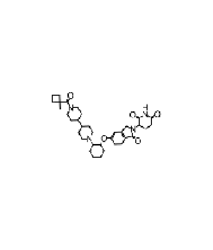 CC1(C(=O)N2CCC(C3CCN([C@@H]4CCCC[C@H]4Oc4ccc5c(c4)CN(C4CCC(=O)NC4=O)C5=O)CC3)CC2)CCC1